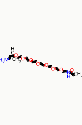 C=CC(=O)NCCOCCOCCOCCOCCOCCOCCOC(C)(C)CCN